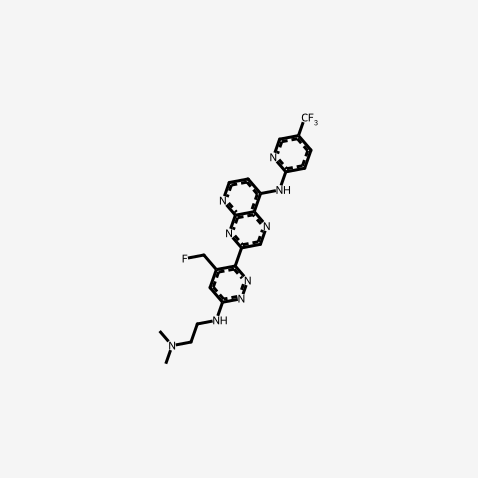 CN(C)CCNc1cc(CF)c(-c2cnc3c(Nc4ccc(C(F)(F)F)cn4)ccnc3n2)nn1